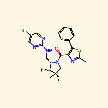 Cc1nc(C(=O)N2C[C@@H]3C[C@@H]3[C@H]2CNc2ncc(Br)cn2)c(-c2ccccc2)s1